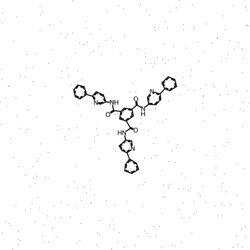 O=C(Nc1ccc(-c2ccccc2)nc1)c1cc(C(=O)Nc2ccc(-c3ccccc3)nc2)cc(C(=O)Nc2ccc(-c3ccccc3)nc2)c1